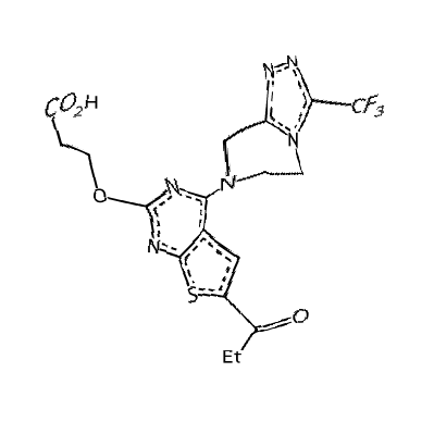 CCC(=O)c1cc2c(N3CCn4c(nnc4C(F)(F)F)C3)nc(OCCC(=O)O)nc2s1